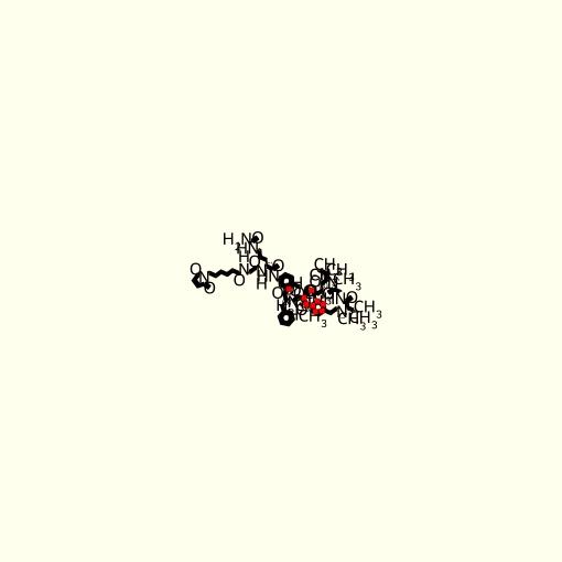 CC[C@H](C)[C@@H]([C@@H](CC(=O)N1CCC[C@H]1[C@H](OC)[C@@H](C)C(=O)N[C@@H](Cc1ccccc1)C(=O)OC)OC)N(C)C(=O)CNC(=O)C(C(C)C)N(C)CCc1ccc(N(C)C(=O)OCc2ccc(NC(=O)[C@H](CCCNC(N)=O)NC(=O)CNC(=O)CCCCCN3C(=O)C=CC3=O)cc2)cc1